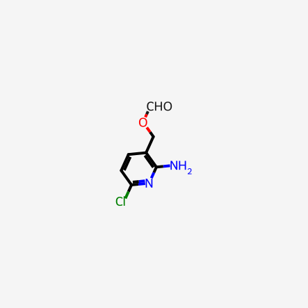 Nc1nc(Cl)ccc1COC=O